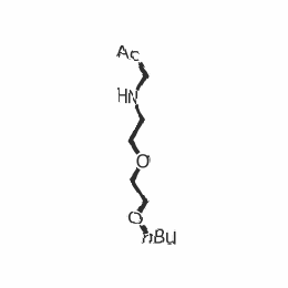 CCCCOCCOCCNCC(C)=O